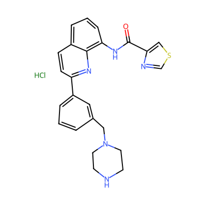 Cl.O=C(Nc1cccc2ccc(-c3cccc(CN4CCNCC4)c3)nc12)c1cscn1